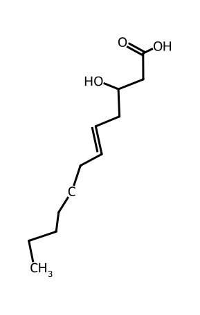 CCCCCCC=CCC(O)CC(=O)O